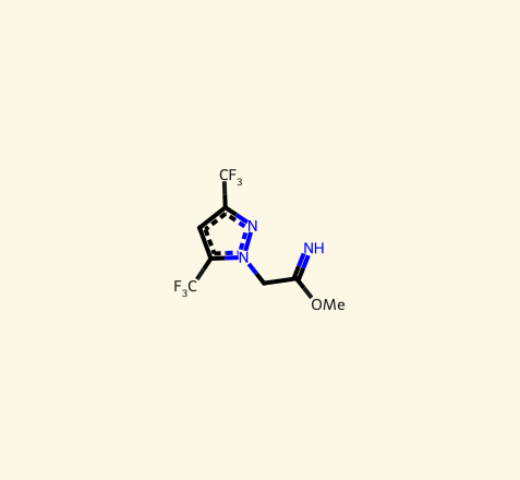 COC(=N)Cn1nc(C(F)(F)F)cc1C(F)(F)F